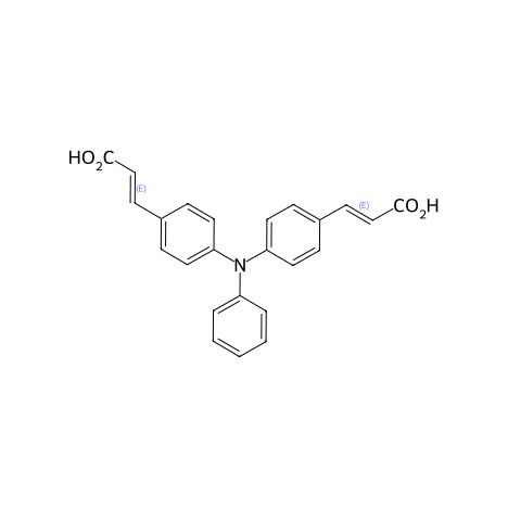 O=C(O)/C=C/c1ccc(N(c2ccccc2)c2ccc(/C=C/C(=O)O)cc2)cc1